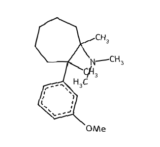 COc1cccc(C2(C)CCCCCC2(C)N(C)C)c1